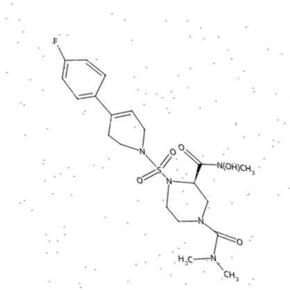 CN(C)C(=O)N1CCN(S(=O)(=O)N2CC=C(c3ccc(F)cc3)CC2)[C@@H](C(=O)N(C)O)C1